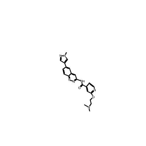 CN(C)CCOc1cc(C(=O)Nc2cc3cc(-c4cnn(C)c4)ccc3nn2)ccn1